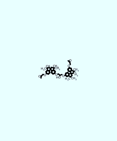 CC1(C)CC2(CC(C)(C)c3cc(OCC4CO4)ccc32)c2ccc(OCC(O)COc3ccc4c(c3)C(C)(C)CC43CC(C)(C)c4cc(OCC5CO5)ccc43)cc21